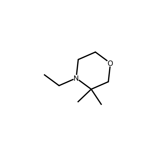 CCN1CCOCC1(C)C